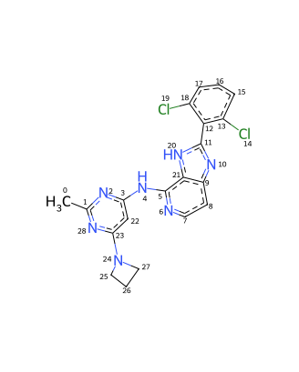 Cc1nc(Nc2nccc3nc(-c4c(Cl)cccc4Cl)[nH]c23)cc(N2CCC2)n1